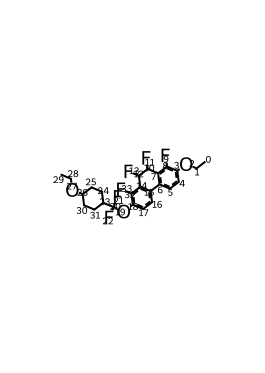 CCOc1ccc2c(c1F)C(F)C(F)c1c-2ccc(OC(F)(F)C2CCC(OCC)CC2)c1F